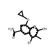 CCc1c(C)c(O)nc2c(OC3CC3)cc(C(N)=O)cc12